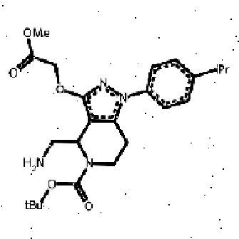 COC(=O)COc1nn(-c2ccc(C(C)C)cc2)c2c1C(CN)N(C(=O)OC(C)(C)C)CC2